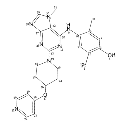 Cc1cc(O)c(C(C)C)cc1Nc1nc(N2CCC(Oc3ccncc3)CC2)nc2ncn(C)c12